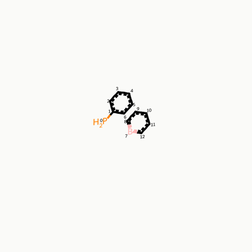 Pc1ccccc1.b1ccccc1